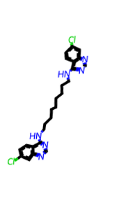 Clc1ccc2c(NCCCCCCCCCNc3ncnc4cc(Cl)ccc34)ncnc2c1